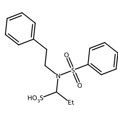 CCC(N(CCc1ccccc1)S(=O)(=O)c1ccccc1)S(=O)(=O)O